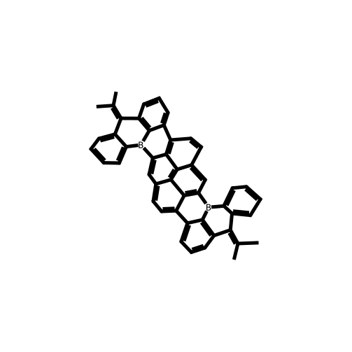 CC(C)=C1c2ccccc2B2c3c1cccc3-c1ccc3cc4c5c(ccc6cc2c1c3c65)-c1cccc2c1B4c1ccccc1C2=C(C)C